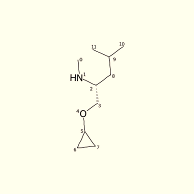 CN[C@@H](COC1CC1)CC(C)C